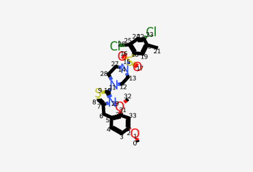 COc1ccc(Cc2csc(N3CCN(S(=O)(=O)c4cc(C)c(Cl)cc4Cl)CC3)n2)c(OC)c1